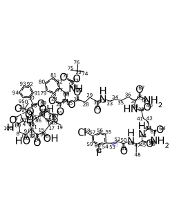 CC(=O)O[C@@]12CO[C@@H]1C[C@H](O)[C@@]1(C)C(=O)[C@H](O)C3=C(C)[C@@H](OC(=O)[C@H](OC(=O)CCC(=O)NCCCCC(NC(=O)CC[C@H](NC(=O)C(C)NC(=O)/C=C/c4ccc(Cl)cc4F)C(N)=O)C(N)=O)[C@@H](NC(=O)OC(C)(C)C)c4ccccc4)C[C@@](O)([C@@H](OC(=O)c4ccccc4)[C@H]21)C3(C)C